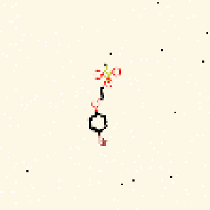 CS(=O)(=O)OCCOc1ccc(Br)cc1